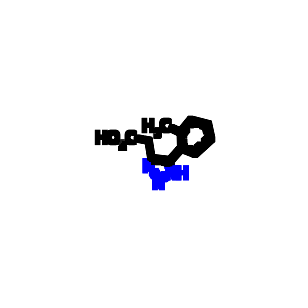 Cc1ccccc1-c1[nH]nnc1CC(=O)O